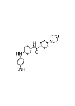 CNc1ccc(Nc2ccc(NC(=O)c3ccc(N4CCOCC4)cc3)cc2)cc1